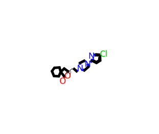 O=C1O[C@@H](CCN2CCN(c3ccc(Cl)cn3)CC2)CC12CCCCC2